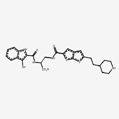 O=C(NCC(NC(=O)c1[nH]c2ccccc2c1O)C(=O)O)c1cc2cc(CCC3CCNCC3)sc2s1